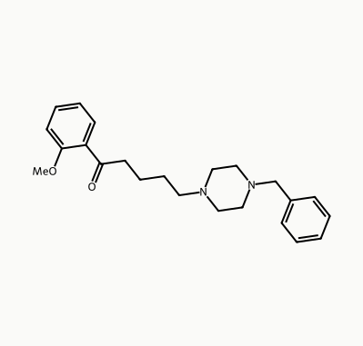 COc1ccccc1C(=O)CCCCN1CCN(Cc2ccccc2)CC1